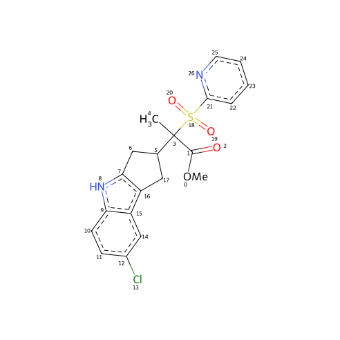 COC(=O)C(C)(C1Cc2[nH]c3ccc(Cl)cc3c2C1)S(=O)(=O)c1ccccn1